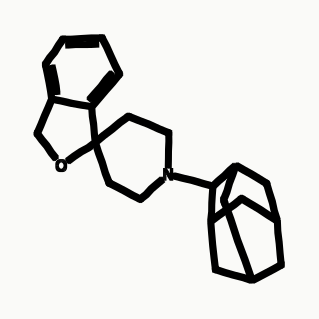 c1ccc2c(c1)COC21CCN(C2C3CC4CC(C3)CC2C4)CC1